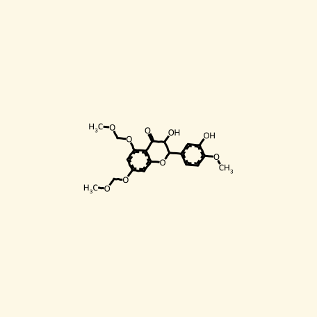 COCOc1cc(OCOC)c2c(c1)OC(c1ccc(OC)c(O)c1)C(O)C2=O